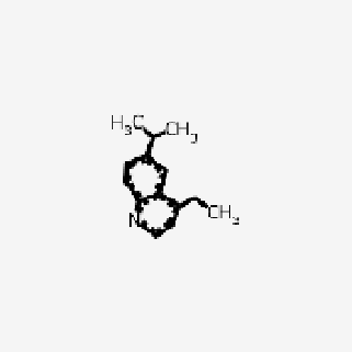 CCc1ccnc2ccc(C(C)C)cc12